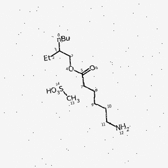 CCCCC(CC)COC(=O)CCCCCN.CS(=O)(=O)O